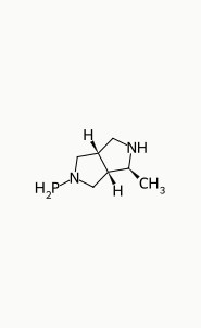 C[C@@H]1NC[C@H]2CN(P)C[C@H]21